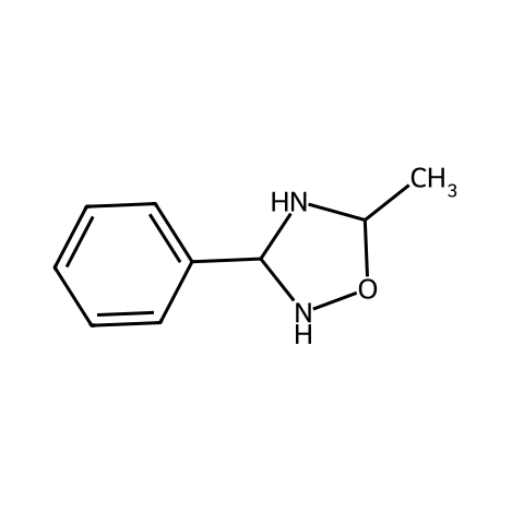 CC1NC(c2ccccc2)NO1